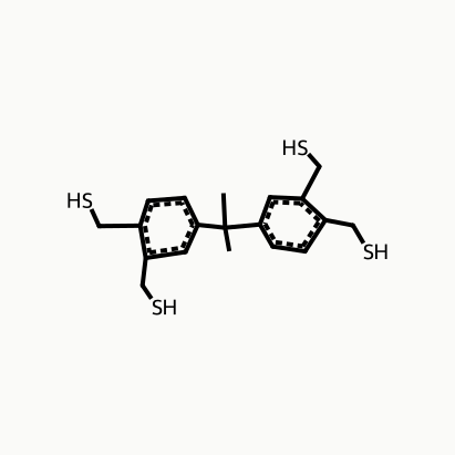 CC(C)(c1ccc(CS)c(CS)c1)c1ccc(CS)c(CS)c1